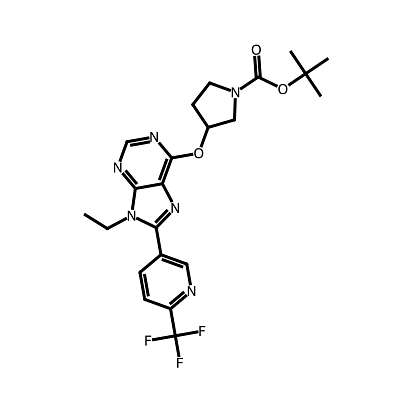 CCn1c(-c2ccc(C(F)(F)F)nc2)nc2c(OC3CCN(C(=O)OC(C)(C)C)C3)ncnc21